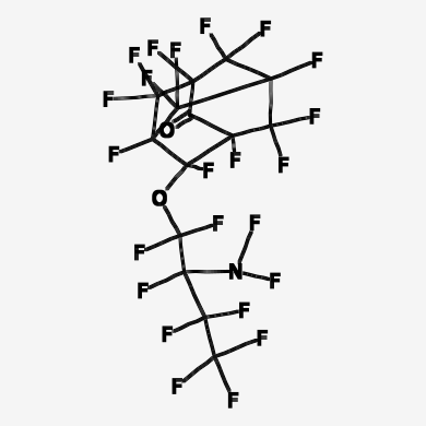 O=C1C2(F)C(F)(F)C3(F)C(F)(F)C1(F)C(F)(OC(F)(F)C(F)(N(F)F)C(F)(F)C(F)(F)F)C(F)(C2(F)F)C3(F)F